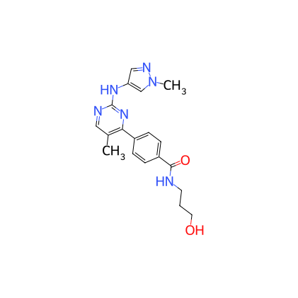 Cc1cnc(Nc2cnn(C)c2)nc1-c1ccc(C(=O)NCCCO)cc1